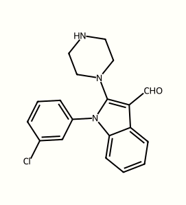 O=Cc1c(N2CCNCC2)n(-c2cccc(Cl)c2)c2ccccc12